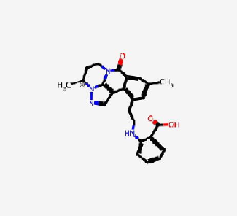 Cc1cc(CCNc2ccccc2C(=O)O)c2c(c1)c(=O)n1c3c2cnn3[C@@H](C)CC1